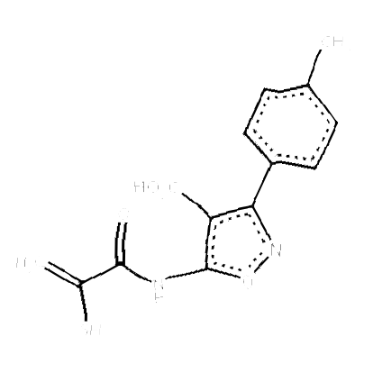 C=C(S)C(=O)Nc1onc(-c2ccc(C)cc2)c1C(=O)O